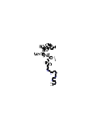 CC/C=C\C/C=C\C/C=C\C/C=C\C/C=C\C/C=C\CCC(=O)NCCN(C)CCNP(=O)(OC)OC[C@@]1(N=[N+]=[N-])O[C@@H](n2ccc(I)nc2=O)[C@H](O)[C@@H]1O